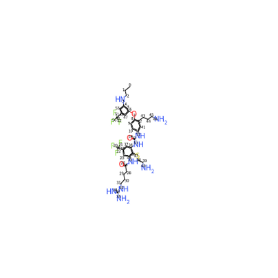 CCCNc1cc(Oc2ccc(NC(=O)Nc3cc(C(F)(F)F)cc(NC(=O)CCCCNC(=N)N)c3SCCN)cc2CCCN)cc(C(F)(F)F)c1